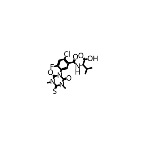 CC(C)[C@H](NC(=O)c1cc(-n2c(=O)n(C)c(=S)n(C)c2=O)c(F)cc1Cl)C(=O)O